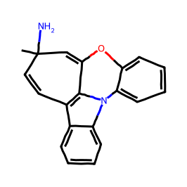 CC1(N)C=Cc2c3n(c4ccccc24)-c2ccccc2OC3=C1